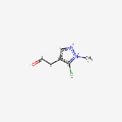 Cn1ncc(C[C]=O)c1Cl